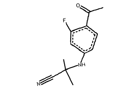 CC(=O)c1ccc(NC(C)(C)C#N)cc1F